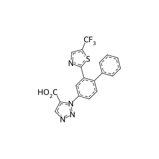 O=C(O)c1cnnn1-c1ccc(-c2ccccc2)c(-c2ncc(C(F)(F)F)s2)c1